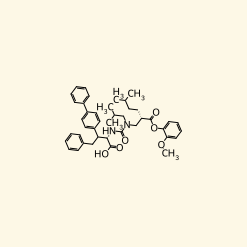 COc1ccccc1OC(=O)[C@@H](CCC(C)C)CN(CC(C)C)C(=O)N[C@H](C(=O)O)C(Cc1ccccc1)c1ccc(-c2ccccc2)cc1